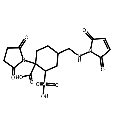 O=C1C=CC(=O)N1NCC1CCC(C(=O)O)(N2C(=O)CCC2=O)C(S(=O)(=O)O)C1